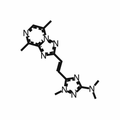 Cc1ncc(C)n2nc(C=Cc3nc(N(C)C)nn3C)nc12